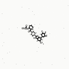 CC(C)(C)C(=O)Nc1cccnc1C(=O)N1CCN(c2nc3c(-c4cc(F)c(F)c(F)c4)cc(C(F)(F)F)cc3[nH]2)CC1